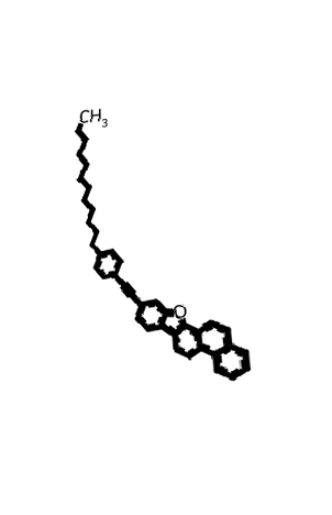 CCCCCCCCCCCCc1ccc(C#Cc2ccc3c(c2)oc2c3ccc3c4ccccc4ccc32)cc1